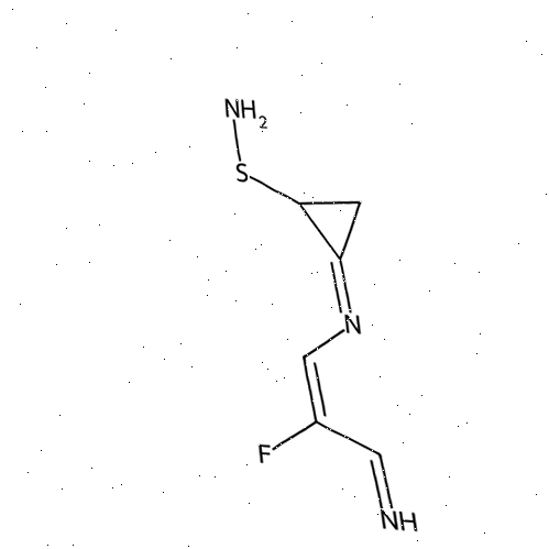 N=C/C(F)=C\N=C1\CC1SN